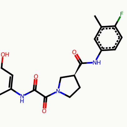 CC(=CCO)NC(=O)C(=O)N1CC[C@H](C(=O)Nc2ccc(F)c(C)c2)C1